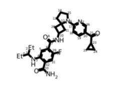 CCC(CC)Nc1cc(C(=O)NC2CC3(CCCN3c3ccc(C(=O)C4CC4)cn3)C2)c(F)cc1C(N)=O